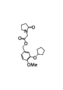 COc1ccc(COC(=O)CN2CCCC2=O)cc1OC1CCCC1